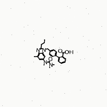 CCCc1nc2c(C)cc(N(C)C(=O)N(C)C)cc2n1Cc1ccc(-c2ccccc2C(=O)O)cc1